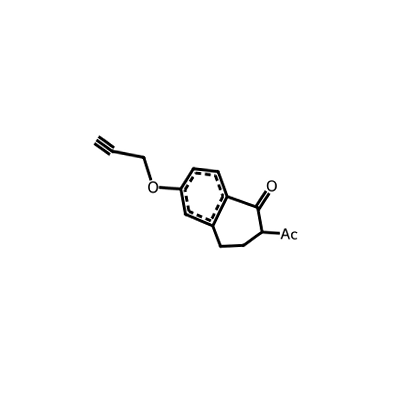 C#CCOc1ccc2c(c1)CCC(C(C)=O)C2=O